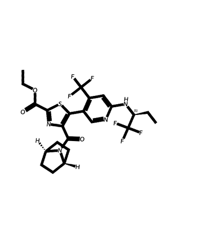 CCOC(=O)c1nc(C(=O)N2[C@H]3CC[C@H]2CC3)c(-c2cnc(N[C@@H](CC)C(F)(F)F)cc2C(F)(F)F)s1